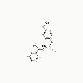 CC(Cc1ccc(CO)cc1)NCC(O)c1ccccc1